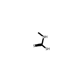 CNC(=S)S